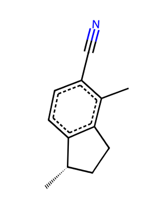 Cc1c(C#N)ccc2c1CC[C@@H]2C